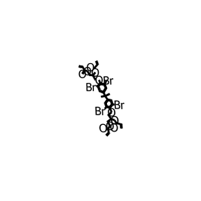 C=CC(=O)OCC(COc1c(Br)cc(C(C)(C)c2cc(Br)c(OCC(COC(=O)C=C)OC(=O)C=C)c(Br)c2)cc1Br)OC(=O)C=C